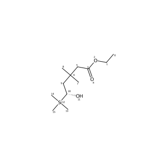 CCOC(=O)CC(C)(C)C[C@H](O)[Si](C)(C)C